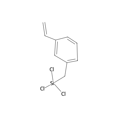 C=Cc1cccc(C[Si](Cl)(Cl)Cl)c1